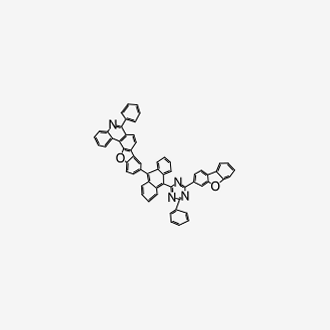 c1ccc(-c2nc(-c3ccc4c(c3)oc3ccccc34)nc(-c3c4ccccc4c(-c4ccc5oc6c(ccc7c(-c8ccccc8)nc8ccccc8c76)c5c4)c4ccccc34)n2)cc1